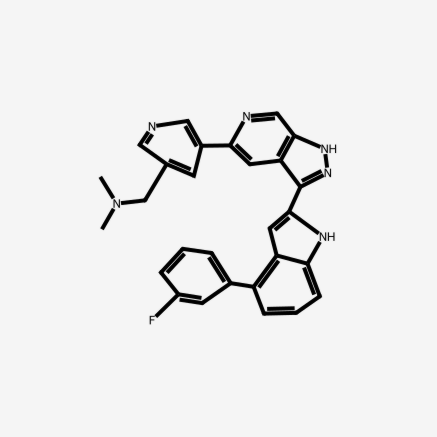 CN(C)Cc1cncc(-c2cc3c(-c4cc5c(-c6cccc(F)c6)cccc5[nH]4)n[nH]c3cn2)c1